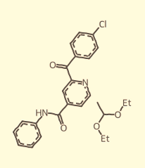 CCOC(C)OCC.O=C(Nc1ccccc1)c1ccnc(C(=O)c2ccc(Cl)cc2)c1